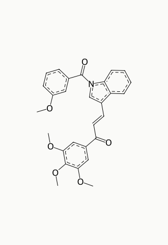 COc1cccc(C(=O)n2cc(/C=C/C(=O)c3cc(OC)c(OC)c(OC)c3)c3ccccc32)c1